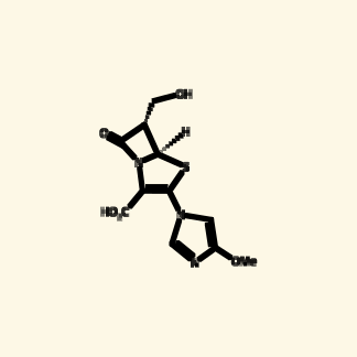 COc1cn(C2=C(C(=O)O)N3C(=O)[C@H](CO)[C@H]3S2)cn1